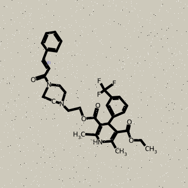 CCOC(=O)C1=C(C)NC(C)=C(C(=O)OCCN2CCN(C(=O)/C=C/c3ccccc3)CC2)C1c1cccc(C(F)(F)F)c1